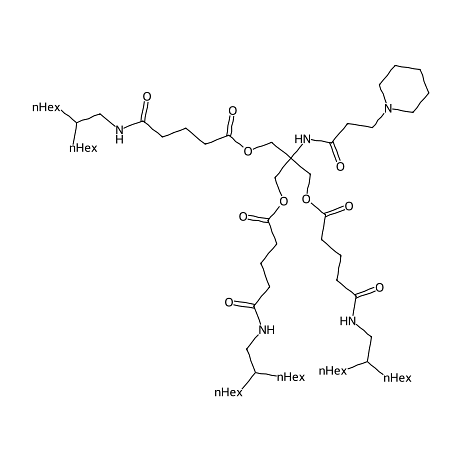 CCCCCCC(CCCCCC)CNC(=O)CCCC(=O)OCC(COC(=O)CCCC(=O)NCC(CCCCCC)CCCCCC)(COC(=O)CCCC(=O)NCC(CCCCCC)CCCCCC)NC(=O)CCN1CCCCC1